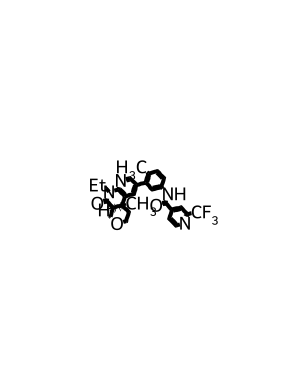 CCN1C(=O)[C@@H]2COCC[C@@]2(C)c2cc(-c3cc(NC(=O)c4ccnc(C(F)(F)F)c4)ccc3C)cnc21